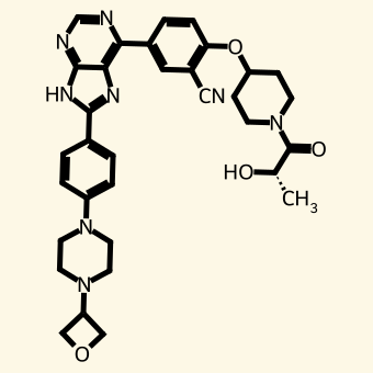 C[C@H](O)C(=O)N1CCC(Oc2ccc(-c3ncnc4[nH]c(-c5ccc(N6CCN(C7COC7)CC6)cc5)nc34)cc2C#N)CC1